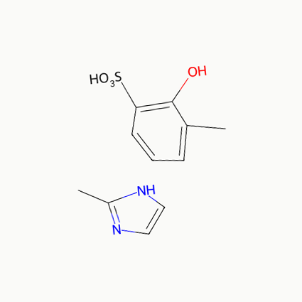 Cc1cccc(S(=O)(=O)O)c1O.Cc1ncc[nH]1